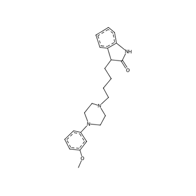 COc1cccc(N2CCN(CCCCC3C(=O)Nc4ccccc43)CC2)c1